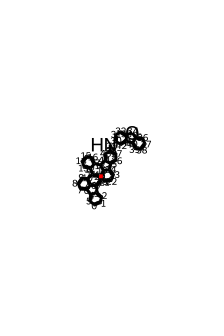 c1ccc2c(c1)-c1cccc3c(-c4ccccc4C4c5ccccc5-c5ccc(Nc6ccc7oc8ccccc8c7c6)cc54)ccc-2c13